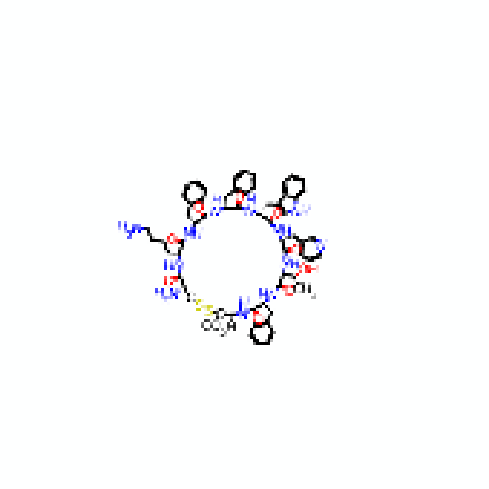 C[C@@H](O)[C@@H]1NC(=O)[C@H](Cc2cccnc2)NC(=O)[C@@H](Cc2c[nH]c3ccccc23)NC(=O)[C@H](Cc2ccccc2)NC(=O)[C@H](Cc2ccccc2)NC(=O)[C@H](CCCCN)NC(=O)[C@@H](N)CSSC[C@@H](C(=O)O)NC(=O)[C@H](Cc2ccccc2)NC1=O